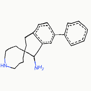 NC1c2cc(-c3ccccc3)ccc2CC12CCNCC2